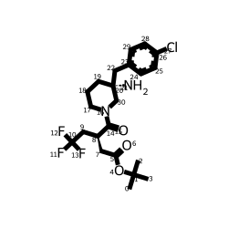 CC(C)(C)OC(=O)C[C@@H](CC(F)(F)F)C(=O)N1CCC[C@@](N)(Cc2ccc(Cl)cc2)C1